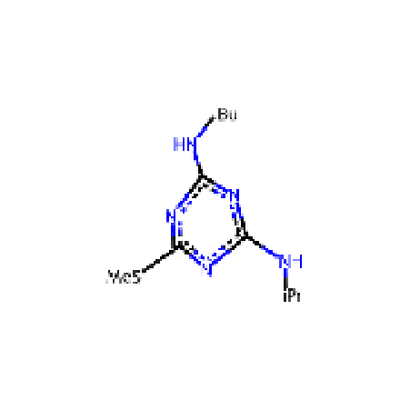 CCC(C)Nc1nc(NC(C)C)nc(SC)n1